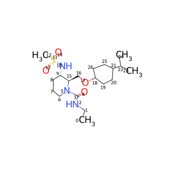 CCNC(=O)N1CCC[C@H](NS(C)(=O)=O)[C@H]1COC1CCC(C(C)C)CC1